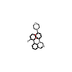 Fc1cccc(F)c1-c1cccc2c1N(c1ccc(N3CCOCC3)cc1)CN=C2